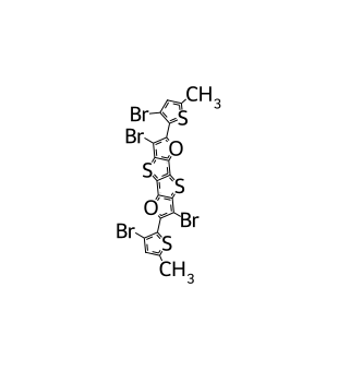 Cc1cc(Br)c(-c2oc3c(sc4c5oc(-c6sc(C)cc6Br)c(Br)c5sc34)c2Br)s1